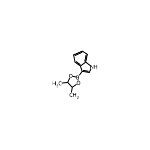 CC1OB(c2c[nH]c3ccccc23)OC1C